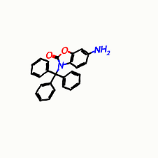 Nc1ccc2c(c1)oc(=O)n2C(c1ccccc1)(c1ccccc1)c1ccccc1